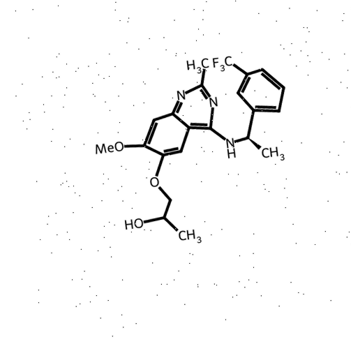 COc1cc2nc(C)nc(N[C@H](C)c3cccc(C(F)(F)F)c3)c2cc1OCC(C)O